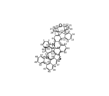 c1ccc(N(c2ccc3c(c2)-c2ccccc2C32c3ccccc3Oc3ccccc32)c2cc3c(sc4cc5ccccc5c(N(c5ccccc5)c5ccccc5)c43)c3ccccc23)cc1